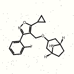 Fc1ccccc1-c1noc(C2CC2)c1COC1C[C@H]2CC[C@@H](C1)N2